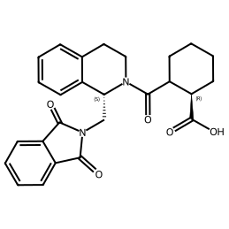 O=C(O)[C@@H]1CCCCC1C(=O)N1CCc2ccccc2[C@H]1CN1C(=O)c2ccccc2C1=O